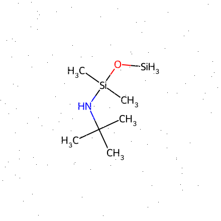 CC(C)(C)N[Si](C)(C)O[SiH3]